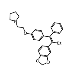 CC/C(=C(\c1ccccc1)c1ccc(OCCN2CCCC2)cc1)c1ccc2c(c1)OCO2